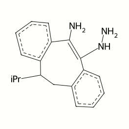 CC(C)C1Cc2ccccc2/C(NN)=C(/N)c2ccccc21